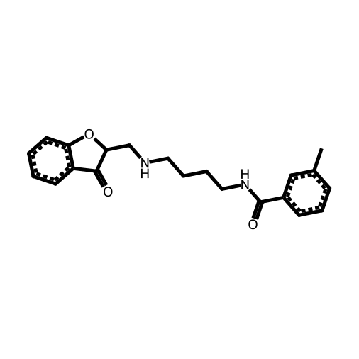 Cc1cccc(C(=O)NCCCCNCC2Oc3ccccc3C2=O)c1